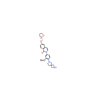 COc1cc(-n2ccc3cc(OC[C@@H]4CCCO4)ccc3c2=O)ccc1N1CCC2(CNC2)C1